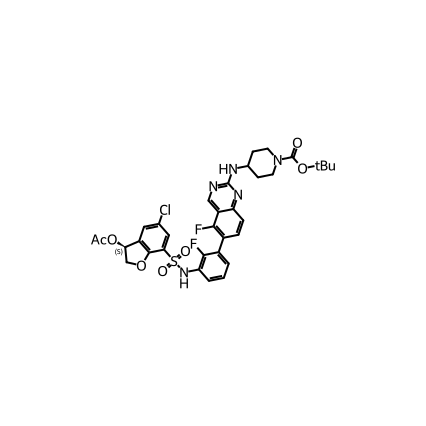 CC(=O)O[C@@H]1COc2c1cc(Cl)cc2S(=O)(=O)Nc1cccc(-c2ccc3nc(NC4CCN(C(=O)OC(C)(C)C)CC4)ncc3c2F)c1F